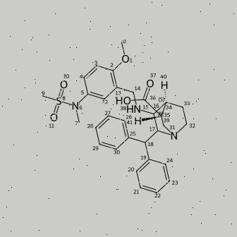 COc1ccc(N(C)S(C)(=O)=O)cc1CNC1C(C(c2ccccc2)c2ccccc2)N2CC[C@H]1[C@@H](C(=O)O)C2